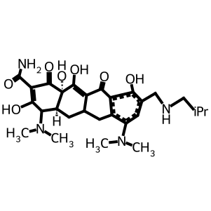 CC(C)CNCc1cc(N(C)C)c2c(c1O)C(=O)C1=C(O)[C@]3(O)C(=O)C(C(N)=O)=C(O)C(N(C)C)[C@@H]3CC1C2